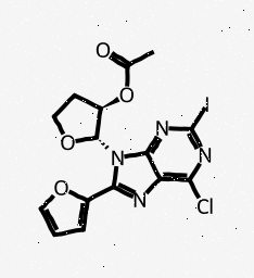 CC(=O)O[C@@H]1CCO[C@H]1n1c(-c2ccco2)nc2c(Cl)nc(I)nc21